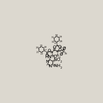 C[C@@H]1O[C@H](Nc2ncnc(N)c2[N+](=O)[O-])[C@@H](OC(=O)c2ccccc2)[C@H](OC(=O)c2ccccc2)[C@@H]1OS(C)(=O)=O